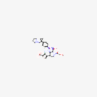 COCC(=O)N1CCC(c2csc(C(=O)O)c2Cl)C(NC(=O)c2ccc(C3(CN4CCCC4)CC3)cc2)C1C(N)=O